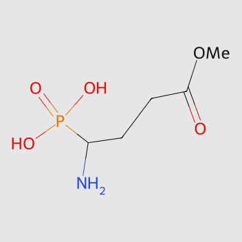 COC(=O)CCC(N)P(=O)(O)O